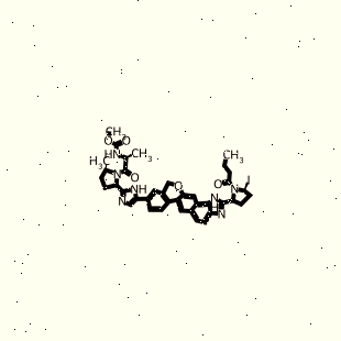 CCCC(=O)N1C(c2nc3ccc4cc5c(cc4c3[nH]2)OCc2cc(-c3cnc(C4CC[C@H](C)N4C(=O)[C@H](C)NC(=O)OC)[nH]3)ccc2-5)CC[C@@H]1I